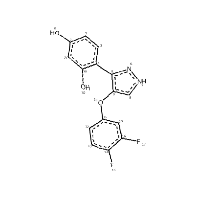 Oc1ccc(-c2n[nH]cc2Oc2ccc(F)c(F)c2)c(O)c1